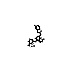 Cc1ccc2c(c1)CC(Cc1ccc(Cc3cccc4cn[nH]c34)c3cc[nH]c13)O2